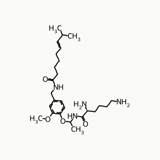 COc1cc(CNC(=O)CCCC/C=C/C(C)C)ccc1OC(C)NC(=O)[C@@H](N)CCCCN